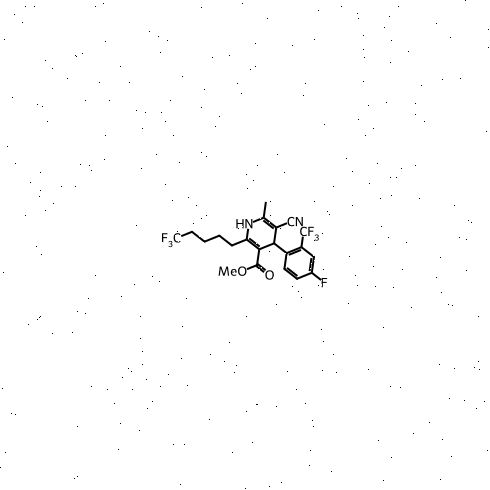 COC(=O)C1=C(CCCCC(F)(F)F)NC(C)=C(C#N)C1c1ccc(F)cc1C(F)(F)F